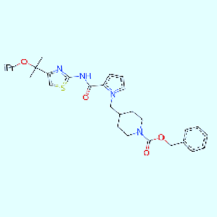 CC(C)OC(C)(C)c1csc(NC(=O)c2cccn2CC2CCN(C(=O)OCc3ccccc3)CC2)n1